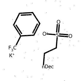 CCCCCCCCCCCCS(=O)(=O)[O-].FC(F)(F)c1ccccc1.[K+]